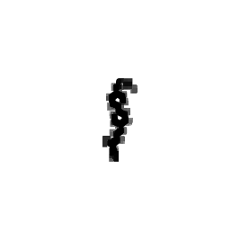 CC[C@H]1CC[C@H]([C@H]2CC[C@H](CCC=C(F)C#N)CC2)CC1